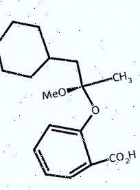 CO[C@](C)(CC1CCCCC1)Oc1ccccc1C(=O)O